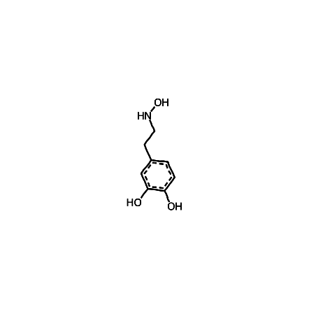 ONCCc1ccc(O)c(O)c1